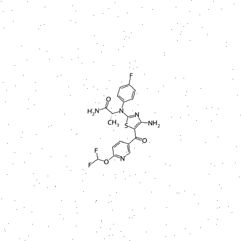 C[C@H](C(N)=O)N(c1ccc(F)cc1)c1nc(N)c(C(=O)c2ccc(OC(F)F)nc2)s1